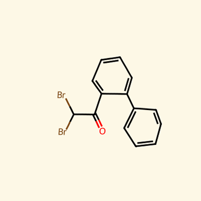 O=C(c1ccccc1-c1ccccc1)C(Br)Br